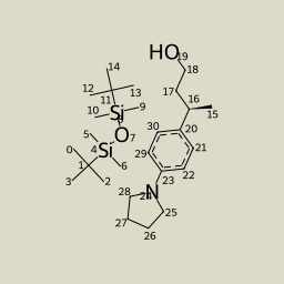 CC(C)(C)[Si](C)(C)O[Si](C)(C)C(C)(C)C.C[C@H](CCO)c1ccc(N2CCCC2)cc1